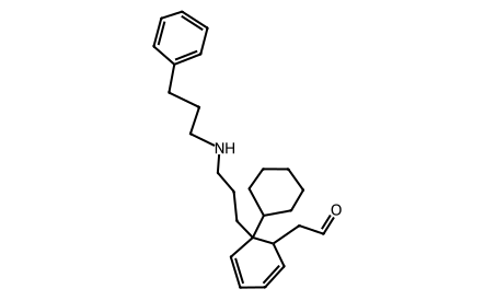 O=CCC1C=CC=CC1(CCCNCCCc1ccccc1)C1CCCCC1